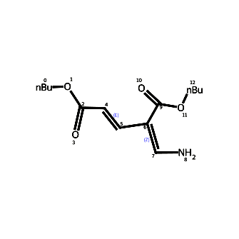 CCCCOC(=O)/C=C/C(=C/N)C(=O)OCCCC